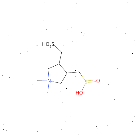 C[N+]1(C)CC(CS(=O)O)C(CS(=O)(=O)O)C1